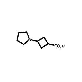 O=C(O)C1CC(N2CCCC2)C1